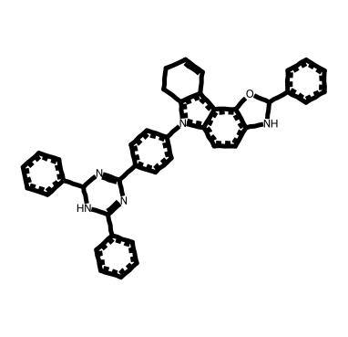 C1=Cc2c(n(-c3ccc(C4=NC(c5ccccc5)NC(c5ccccc5)=N4)cc3)c3ccc4c(c23)OC(c2ccccc2)N4)CC1